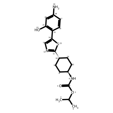 CC(C)OC(=O)N[C@H]1CC[C@H](c2ncc(-c3ccc(N)cc3O)s2)CC1